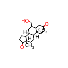 C[C@]12C=CC(=O)CC1C(CO)C[C@@H]1[C@@H]2CC[C@]2(C)C(=O)CC[C@@H]12